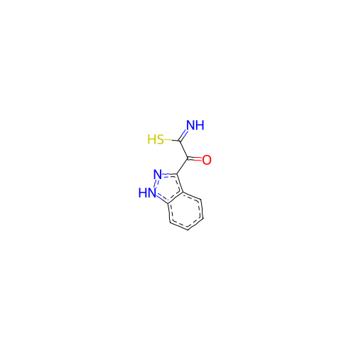 N=C(S)C(=O)c1n[nH]c2ccccc12